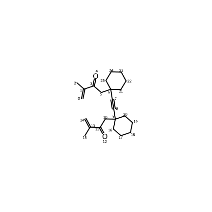 C=C(C)C(=O)CC1(C#CC2(CC(=O)C(=C)C)CCCCC2)CCCCC1